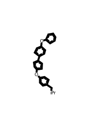 CC(C)Cc1ccc(Oc2ccc(-c3ccc(Oc4ccccc4)cc3)cc2)cc1